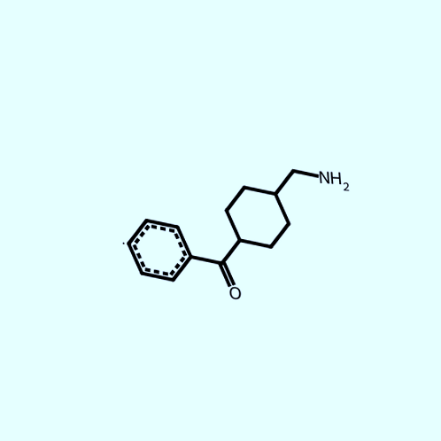 NCC1CCC(C(=O)c2cc[c]cc2)CC1